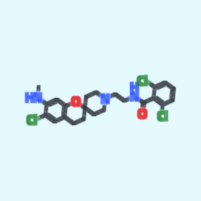 CNc1cc2c(cc1Cl)CCC1(CCN(CCNC(=O)c3c(Cl)cccc3Cl)CC1)O2